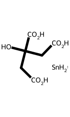 O=C(O)CC(O)(CC(=O)O)C(=O)O.[SnH2]